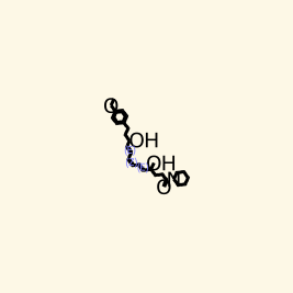 COc1ccc(CCC(O)/C=C/C=C\C=C\C(O)CCC(=O)N2CCCCC2)cc1